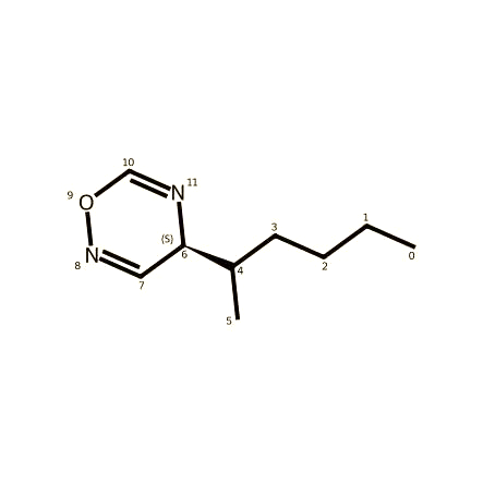 CCCCC(C)[C@H]1C=NOC=N1